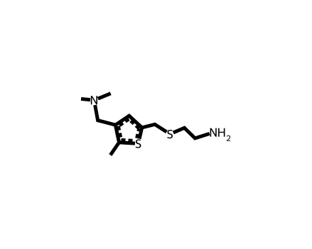 Cc1sc(CSCCN)cc1CN(C)C